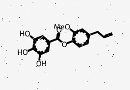 C=CCc1ccc(OC(=O)c2cc(O)c(O)c(O)c2)c(OC)c1